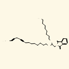 CCCCCC#CCC#CCCCCCCCCOC(CN1C(=O)c2ccccc2C1=O)OCCCCCCCCCCCCCCCCCC